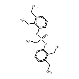 CCc1cccc(OP(=O)(CC)Oc2cccc(CC)c2CC)c1CC